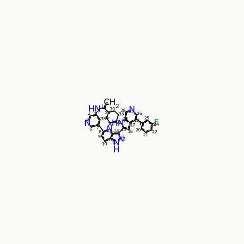 C=C(Nc1cncc(-c2ccc3[nH]nc(-c4cc5c(-c6cccc(F)c6)cncc5[nH]4)c3n2)c1)C1CCCCC1